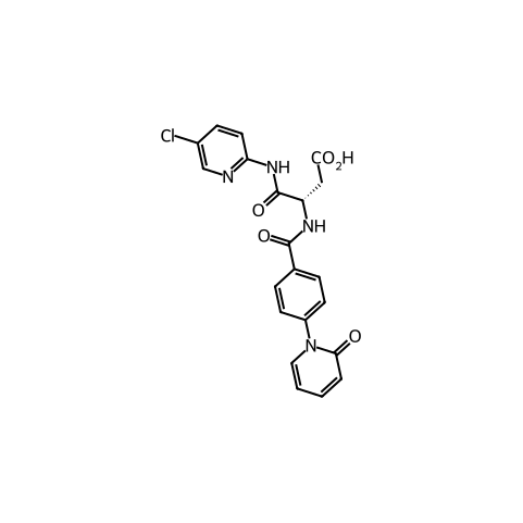 O=C(O)C[C@H](NC(=O)c1ccc(-n2ccccc2=O)cc1)C(=O)Nc1ccc(Cl)cn1